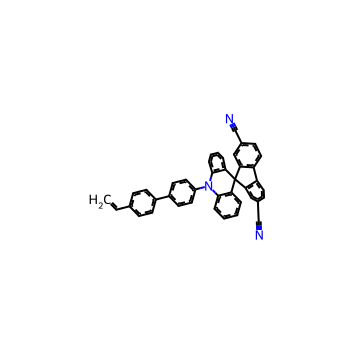 C=Cc1ccc(-c2ccc(N3c4ccccc4C4(c5cc(C#N)ccc5-c5ccc(C#N)cc54)c4ccccc43)cc2)cc1